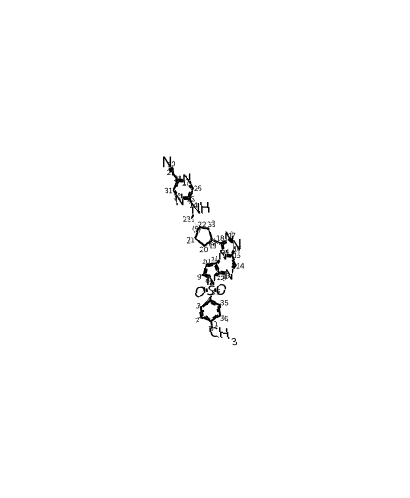 Cc1ccc(S(=O)(=O)n2ccc3c2ncc2nnc([C@H]4CC[C@H](CNc5cnc(C#N)cn5)C4)n23)cc1